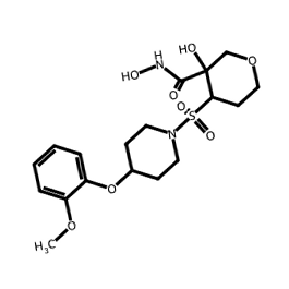 COc1ccccc1OC1CCN(S(=O)(=O)C2CCOCC2(O)C(=O)NO)CC1